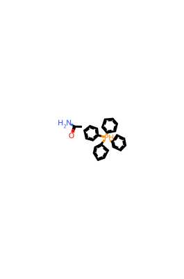 CC(N)=O.c1ccc([PH](c2ccccc2)(c2ccccc2)c2ccccc2)cc1